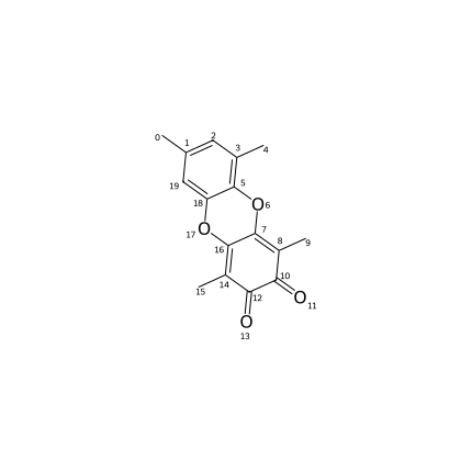 Cc1cc(C)c2oc3c(C)c(=O)c(=O)c(C)c-3oc2c1